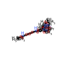 C/C=C(\C)[C@@H](OC(=O)[C@@H](C)N)[C@@H](C)CC/C=C(\C)C(=O)O[C@H](CC(C)C)C(=O)N[C@@H](C)C(=O)N(C)[C@H](Cc1ccc(OC(=O)NCCCOCCOCCOCCCNC(=O)OCC[Si](C)(C)C)cc1)C(=O)N(C)CC(=O)N[C@H](C(=O)O)C(C)CC